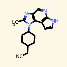 [CH2]c1nc2cnc3[nH]ccc3c2n1C1CCC(CC#N)CC1